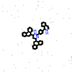 C1=CC2C(C3CC(C4Cc5ccccc5-c5ccccc54)N=C(C4C=CC(C5NC=Cc6ccccc65)=CC4)N3)=Cc3ccccc3C2C=C1